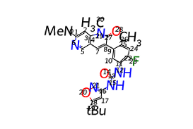 CNc1cc2c(cn1)cc(-c1cc(NC(=O)Nc3cc(C(C)(C)C)on3)c(F)cc1C)c(=O)n2C